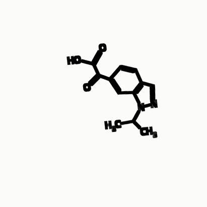 CC(C)n1ncc2ccc(C(=O)C(=O)O)cc21